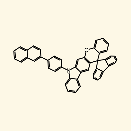 c1ccc2c(c1)Oc1cc3c(cc1C21c2ccccc2-c2ccccc21)c1ccccc1n3-c1ccc(-c2ccc3ccccc3c2)cc1